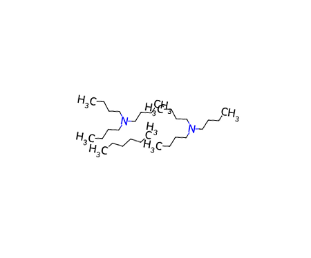 CCCCCC.CCCCN(CCCC)CCCC.CCCCN(CCCC)CCCC